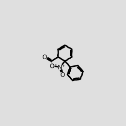 O=[C]C1C=CC=CC1(c1ccccc1)[N+](=O)[O-]